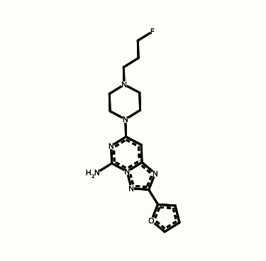 Nc1nc(N2CCN(CCCF)CC2)cc2nc(-c3ccco3)nn12